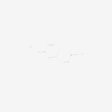 Cc1c(CO)cccc1SC(C)C(=O)O